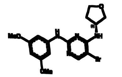 COc1cc(Nc2ncc(Br)c(N[C@@H]3CCOC3)n2)cc(OC)c1